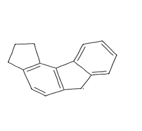 [CH]1c2ccccc2-c2c1ccc1c2CCC1